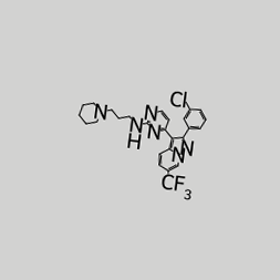 FC(F)(F)c1ccc2c(-c3ccnc(NCCCN4CCCCC4)n3)c(-c3cccc(Cl)c3)nn2c1